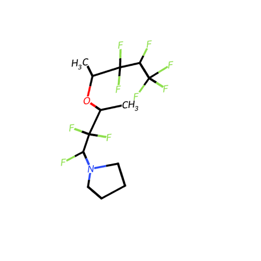 CC(OC(C)C(F)(F)C(F)C(F)(F)F)C(F)(F)C(F)N1CCCC1